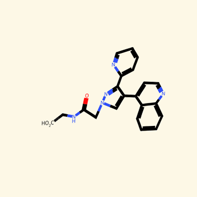 O=C(O)CNC(=O)Cn1cc(-c2ccnc3ccccc23)c(-c2ccccn2)n1